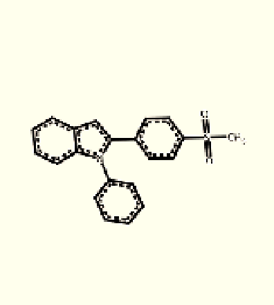 CS(=O)(=O)c1ccc(-c2cc3ccccc3n2-c2ccccc2)cc1